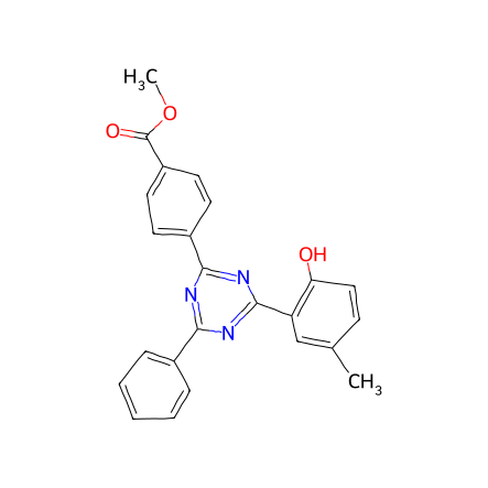 COC(=O)c1ccc(-c2nc(-c3ccccc3)nc(-c3cc(C)ccc3O)n2)cc1